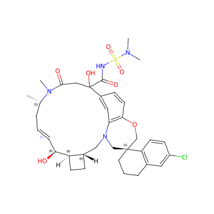 C[C@H]1C/C=C/[C@H](O)[C@@H]2CC[C@H]2CN2C[C@@]3(CCCc4cc(Cl)ccc43)COc3ccc(cc32)C(O)(C(=O)NS(=O)(=O)N(C)C)CC(=O)N1C